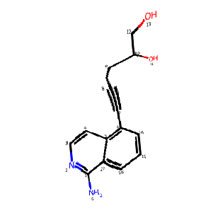 Nc1nccc2c(C#CCC(O)CO)cccc12